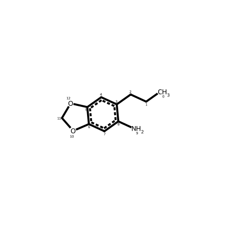 CCCc1cc2c(cc1N)OCO2